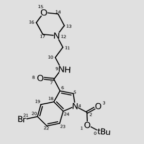 CC(C)(C)OC(=O)n1cc(C(=O)NCCN2CCOCC2)c2cc(Br)ccc21